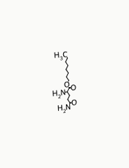 CCCCCCCCOC(=O)C(N)CCC(N)=O